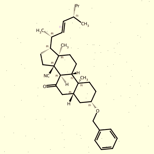 CC(C)[C@H](C)/C=C/[C@@H](C)[C@H]1CC[C@@]2(C#N)[C@@H]3C(=O)C[C@H]4C[C@@H](OCc5ccccc5)CC[C@]4(C)[C@H]3CC[C@]12C